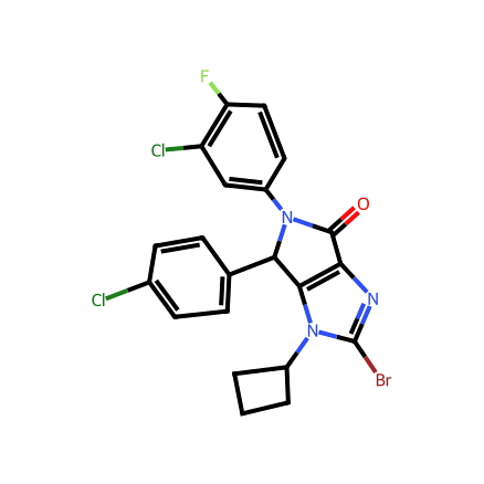 O=C1c2nc(Br)n(C3CCC3)c2C(c2ccc(Cl)cc2)N1c1ccc(F)c(Cl)c1